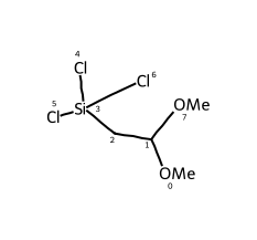 COC(C[Si](Cl)(Cl)Cl)OC